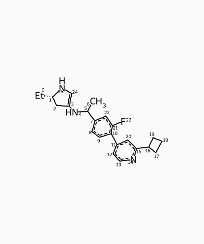 CC[C@H]1CC(NC(C)c2ccc(-c3ccnc(C4CCC4)c3)c(F)c2)=CN1